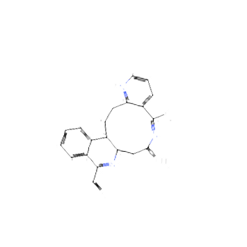 C=CC1=NC2CC(=C)/N=C(/C)c3cccnc3CCC2c2ccccc21